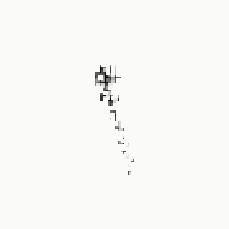 CCCCCCCCCCCCCCCCCCCC(=O)NCCc1c[nH]c2c(N)cccc12